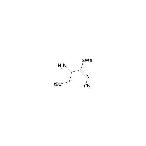 CSC(=NC#N)C(N)[CH]C(C)(C)C